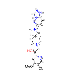 COc1cc(C(O)CN2CCC3(CC2)CCN(c2ccc4nncn4n2)C3)ncc1C#N